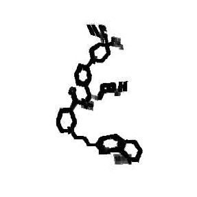 CC1(C)CCN(c2cccc([C@H](CC(=O)O)NC(=O)[C@@H]3CCCN(CCCc4ccc5c(n4)NCCC5)C3)c2)CC1